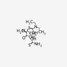 C=CC(=O)O.CC.CCN(CC)C(O)=S.NC(O)=S